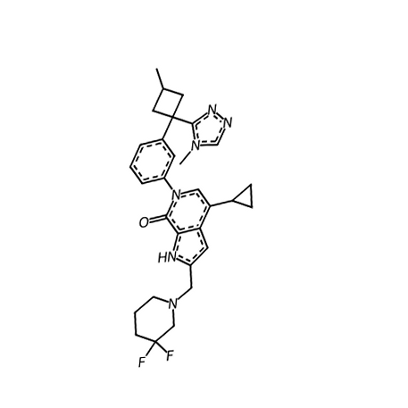 CC1CC(c2cccc(-n3cc(C4CC4)c4cc(CN5CCCC(F)(F)C5)[nH]c4c3=O)c2)(c2nncn2C)C1